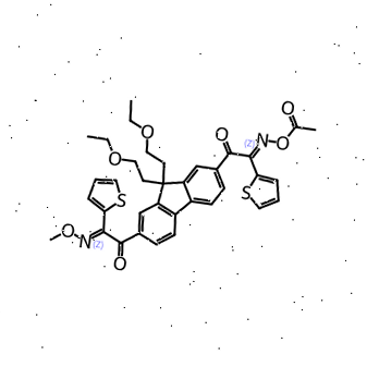 CCOCCC1(CCOCC)c2cc(C(=O)/C(=N/OC)c3cccs3)ccc2-c2ccc(C(=O)/C(=N/OC(C)=O)c3cccs3)cc21